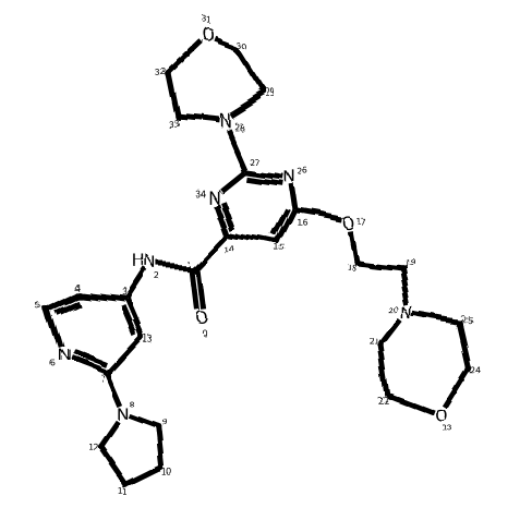 O=C(Nc1ccnc(N2CCCC2)c1)c1cc(OCCN2CCOCC2)nc(N2CCOCC2)n1